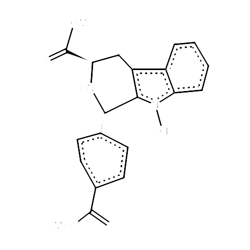 COC(=O)c1ccc([C@@H]2N[C@@H](C(=O)OC)Cc3c2n(C)c2ccccc32)cc1